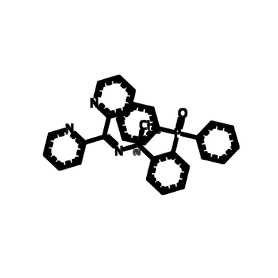 C[C@H](N=C(c1ccccn1)c1ccccn1)c1ccccc1P(=O)(c1ccccc1)c1ccccc1